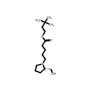 CC(C)(C)CCOC(=O)CCCCN1CCC[C@H]1CO